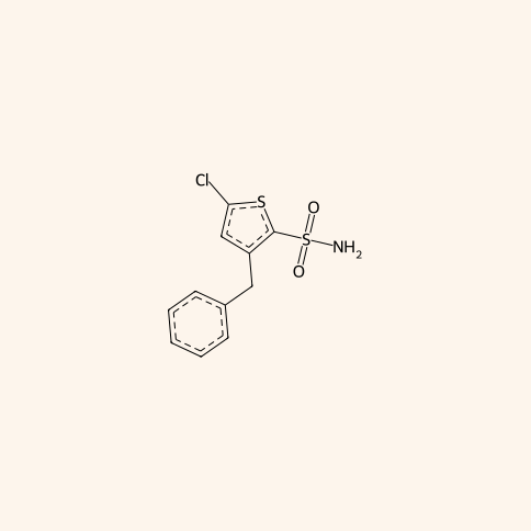 NS(=O)(=O)c1sc(Cl)cc1Cc1ccccc1